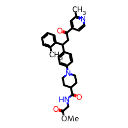 COC(=O)CNC(=O)C1CCN(c2ccc(C(CC(=O)c3ccnc(C)c3)c3ccccc3C)cc2)CC1